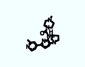 Cc1cc(-c2ccc3c(n2)N(C(=O)N2CCN(C)CC2)[C@H]2CCN3C2)ccn1